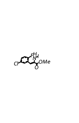 COC(=O)/C(=C/c1cc(Cl)ccc1F)NI